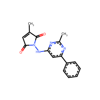 CC1=CC(=O)N(Nc2cc(-c3ccccc3)nc(C)n2)C1=O